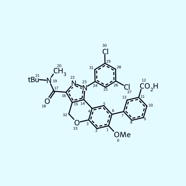 COc1cc2c(cc1-c1cccc(C(=O)O)c1)-c1c(c(C(=O)N(C)C(C)(C)C)nn1-c1cc(Cl)cc(Cl)c1)CO2